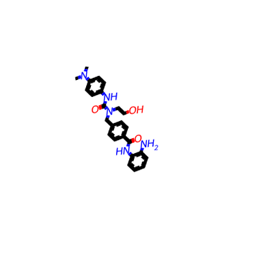 CN(C)c1ccc(NC(=O)N(CCO)Cc2ccc(C(=O)Nc3ccccc3N)cc2)cc1